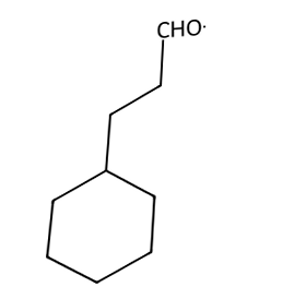 O=[C]CCC1CCCCC1